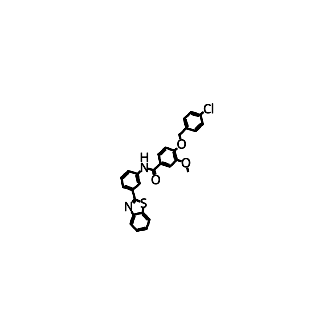 COc1cc(C(=O)Nc2cccc(-c3nc4ccccc4s3)c2)ccc1OCc1ccc(Cl)cc1